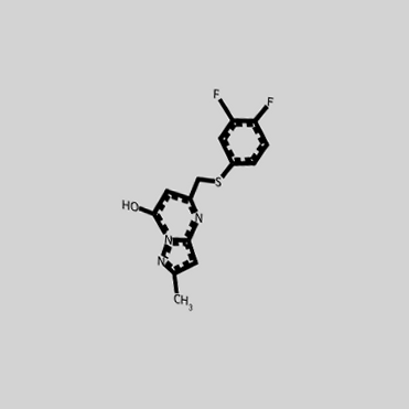 Cc1cc2nc(CSc3ccc(F)c(F)c3)cc(O)n2n1